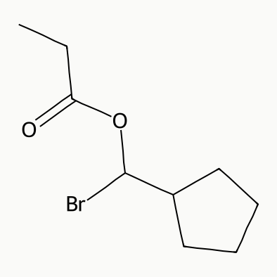 CCC(=O)OC(Br)C1CCCC1